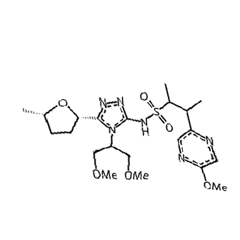 COCC(COC)n1c(NS(=O)(=O)C(C)C(C)c2cnc(OC)cn2)nnc1[C@@H]1CC[C@H](C)O1